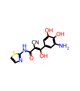 N#C/C(C(=O)Nc1nccs1)=C(/O)c1cc(N)c(O)c(O)c1